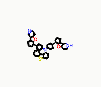 C1=Cc2oc3c(-c4ccc(N(c5ccc(-c6cccc7c6oc6ccncc67)cc5)c5cccc6sc7ccccc7c56)cc4)cccc3c2CN1